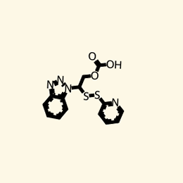 O=C(O)OCC(SSc1ccccn1)n1nnc2ccccc21